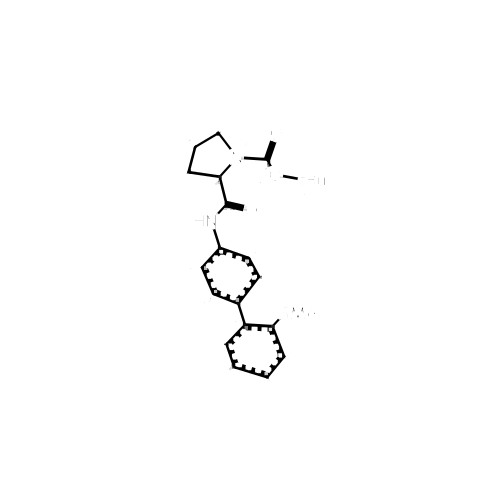 CSc1ccccc1-c1ccc(NC(=O)C2CCCN2C(=O)OC(C)(C)C)cc1